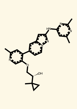 Cc1cc(-c2ccn3nc(Nc4cc(C)nc(C)n4)cc3c2)c(OC[C@H](O)C2(C)CC2)cn1